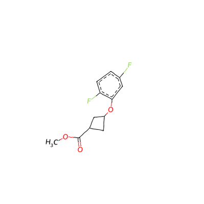 COC(=O)C1CC(Oc2cc(F)ccc2F)C1